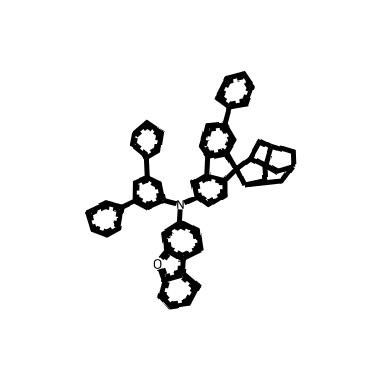 c1ccc(-c2cc(-c3ccccc3)cc(N(c3ccc4c(c3)-c3ccc(-c5ccccc5)cc3C43C4CC5CC6CC3C6(C5)C4)c3ccc4c(c3)oc3ccccc34)c2)cc1